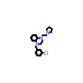 Clc1cccc(CN2CCN(CCN3CCCC3)c3ccccc32)c1